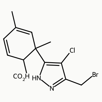 CC1=CC(C)(c2[nH]nc(CBr)c2Cl)C(C(=O)O)C=C1